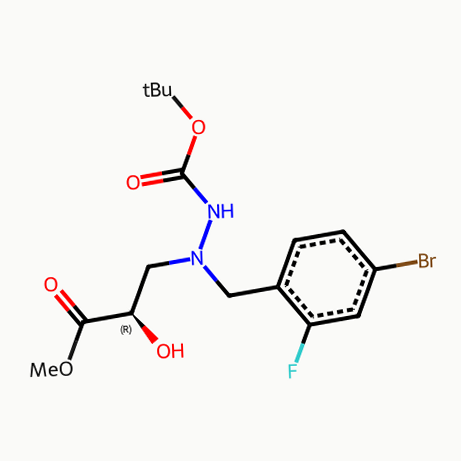 COC(=O)[C@H](O)CN(Cc1ccc(Br)cc1F)NC(=O)OC(C)(C)C